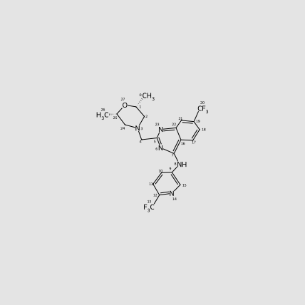 C[C@@H]1CN(Cc2nc(Nc3ccc(C(F)(F)F)nc3)c3ccc(C(F)(F)F)cc3n2)C[C@H](C)O1